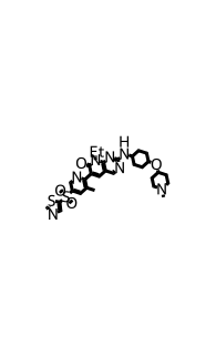 CCn1c(=O)c(-c2ncc(S(=O)(=O)c3cncs3)cc2C)cc2cnc(NC3CCC(OC4CCN(C)CC4)CC3)nc21